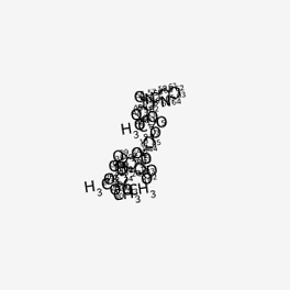 CC[C@@]1(OC(=O)COc2ccc(C(=O)OC3c4cc5c(cc4[C@@H](c4cc(OC)c(OC)c(OC)c4)[C@H]4C(=O)OCC34)OCO5)cc2)C(=O)OCc2c1cc1n(c2=O)Cc2cc3ccccc3nc2-1